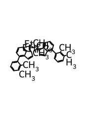 [CH2]=[Hf]([CH3])([CH3])([CH2]C)([CH2]C)([CH]1C=Cc2c(-c3cccc(C)c3C)cccc21)[CH]1C=Cc2c(-c3cccc(C)c3C)cccc21